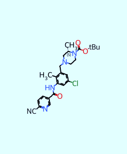 Cc1c(CN2CCN(C(=O)OC(C)(C)C)[C@@H](C)C2)cc(Cl)cc1NC(=O)c1ccc(C#N)nc1